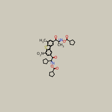 C/C(=N\OC(=O)C1CCCC1)C(=O)c1cc(C)c2sc3c([N+](=O)[O-])cc(C(=O)/C(=N/OC(=O)C4CCCC4)C4CCCC4)cc3c2c1